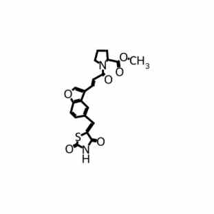 COC(=O)C1CCCN1C(=O)/C=C/c1coc2ccc(/C=C3\SC(=O)NC3=O)cc12